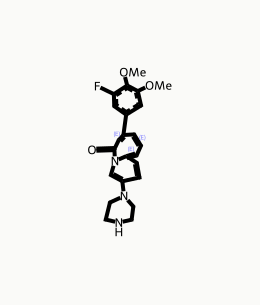 COc1cc(C2=C\C(=O)N3C=C(N4CCNCC4)C=C\C3=C/C=C/2)cc(F)c1OC